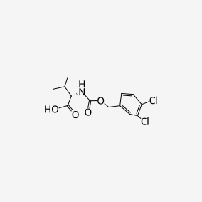 CC(C)[C@H](NC(=O)OCc1ccc(Cl)c(Cl)c1)C(=O)O